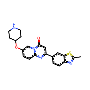 Cc1nc2ccc(-c3cc(=O)n4cc(OC5CCNCC5)ccc4n3)cc2s1